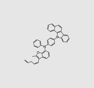 C=CC/C=C\c1c(C)oc2c(N(c3ccccc3)c3ccc(-n4c5ccccc5c5ccc6ccccc6c54)cc3)cccc12